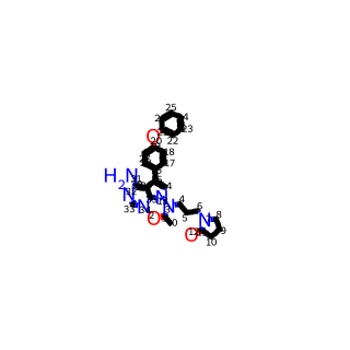 CC(=O)N(CCCN1CCCC1=O)n1cc(-c2ccc(Oc3ccccc3)cc2)c2c(N)ncnc21